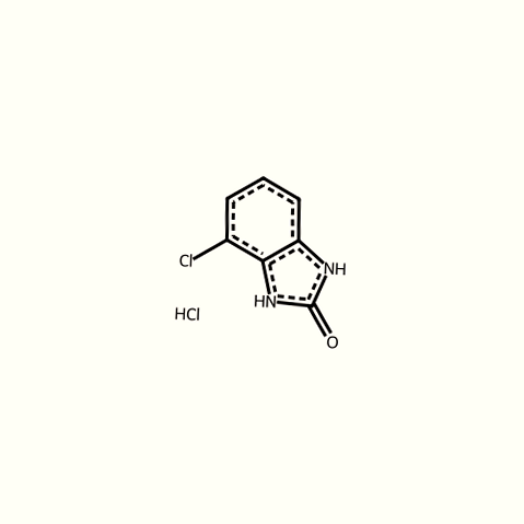 Cl.O=c1[nH]c2cccc(Cl)c2[nH]1